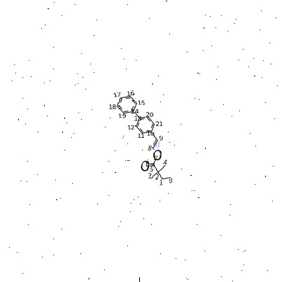 CCC(C)(C)C(=O)O/C=C/c1ccc(-c2ccccc2)cc1